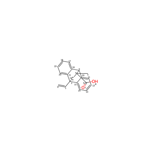 C=CC12CC(C)(C(=O)O)C(c3ccccc31)c1ccccc12